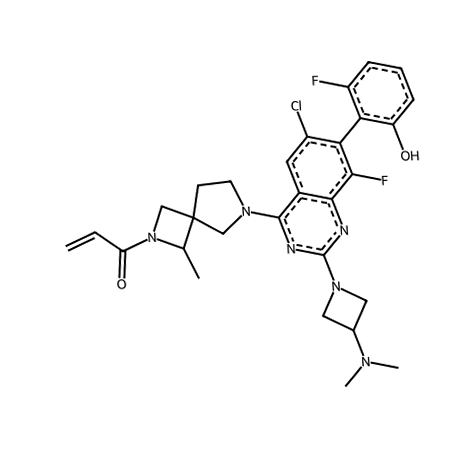 C=CC(=O)N1CC2(CCN(c3nc(N4CC(N(C)C)C4)nc4c(F)c(-c5c(O)cccc5F)c(Cl)cc34)C2)C1C